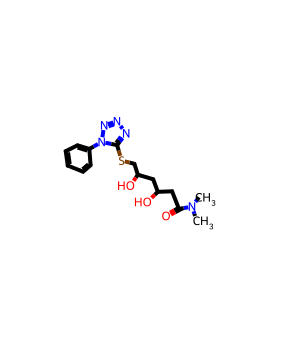 CN(C)C(=O)CC(O)CC(O)CSc1nnnn1-c1ccccc1